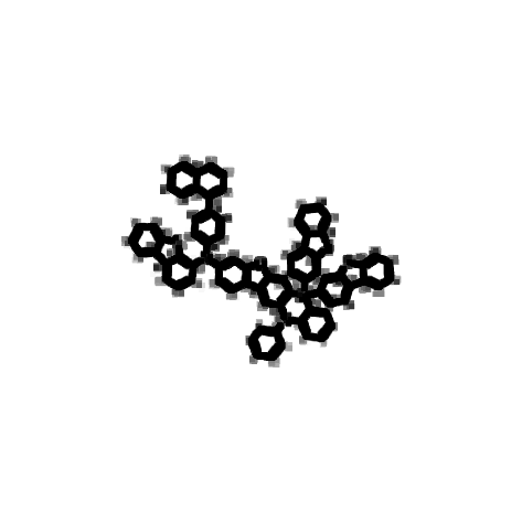 c1ccc(N2c3ccccc3[Si](c3ccc4c(c3)sc3ccccc34)(c3ccc4c(c3)sc3ccccc34)c3cc4oc5cc(N(c6ccc(-c7cccc8ccccc78)cc6)c6cccc7c6sc6ccccc67)ccc5c4cc32)cc1